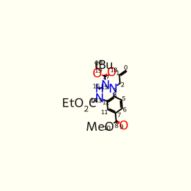 C=CCN(c1ccc(C(=O)OC)cc1NC(=O)OCC)N(C)C(=O)OC(C)(C)C